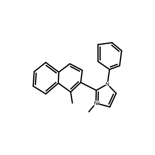 Cc1c(-c2n(-c3ccccc3)cc[n+]2C)ccc2ccccc12